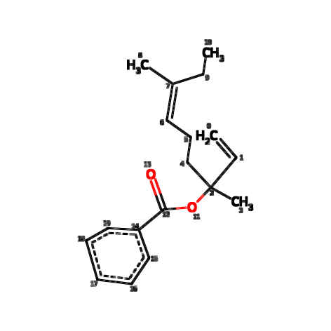 C=CC(C)(CC/C=C(/C)CC)OC(=O)c1ccccc1